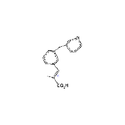 C/C(=C\c1cccc(Cc2cccnc2)c1)C(=O)O